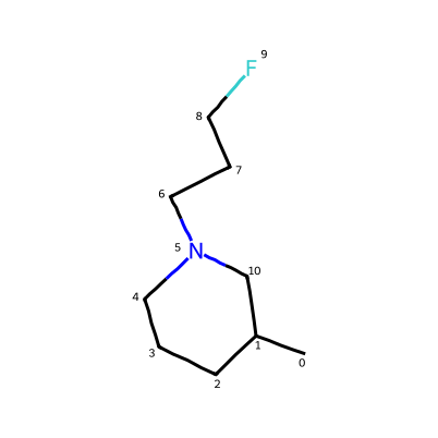 CC1CCCN(CCCF)C1